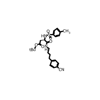 Cc1ccc(S(=O)(=O)N[C@H](CC(=O)OC(C)(C)C)C(=O)NCCCCc2ccc(C#N)cc2)cc1